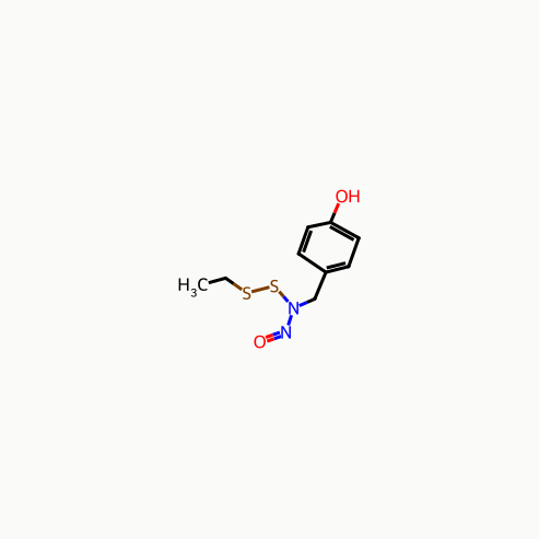 CCSSN(Cc1ccc(O)cc1)N=O